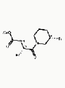 COC(=O)N[C@H](C(=O)N1CCC[C@H](C(C)C)C1)C(C)C